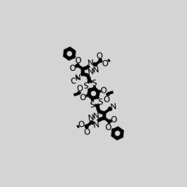 [C-]#[N+]c1c(C(=O)Oc2ccccc2)c2nc(C(=O)OC)nn2c1=C1Sc2c(OC(C)=O)c3c(c(OC(C)=O)c2S1)SC(=c1c(C#N)c(C(=O)Oc2ccccc2)c2nc(C(=O)OC)nn12)S3